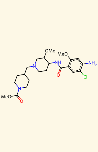 COC(=O)N1CCC(CN2CCC(NC(=O)c3cc(Cl)c(N)cc3OC)C(OC)C2)CC1